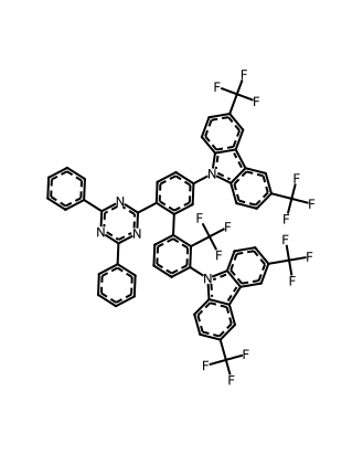 FC(F)(F)c1ccc2c(c1)c1cc(C(F)(F)F)ccc1n2-c1ccc(-c2nc(-c3ccccc3)nc(-c3ccccc3)n2)c(-c2cccc(-n3c4ccc(C(F)(F)F)cc4c4cc(C(F)(F)F)ccc43)c2C(F)(F)F)c1